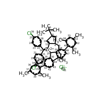 CCCCC1C=C(C(C)(C)C)C=[C]1[Zr+2](=[C](c1ccc(Cl)cc1)c1ccc(Cl)cc1)[CH]1c2cc(-c3c(C)cc(C)cc3C)ccc2-c2ccc(-c3c(C)cc(C)cc3C)cc21.[Cl-].[Cl-]